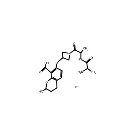 CC(N)C(=O)NC(C)C(=O)N1CC(Oc2ccc3c(c2C(=O)O)OB(O)CC3)C1.Cl